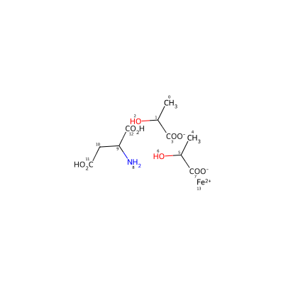 CC(O)C(=O)[O-].CC(O)C(=O)[O-].NC(CC(=O)O)C(=O)O.[Fe+2]